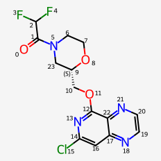 O=C(C(F)F)N1CCO[C@H](COc2nc(Cl)cc3nccnc23)C1